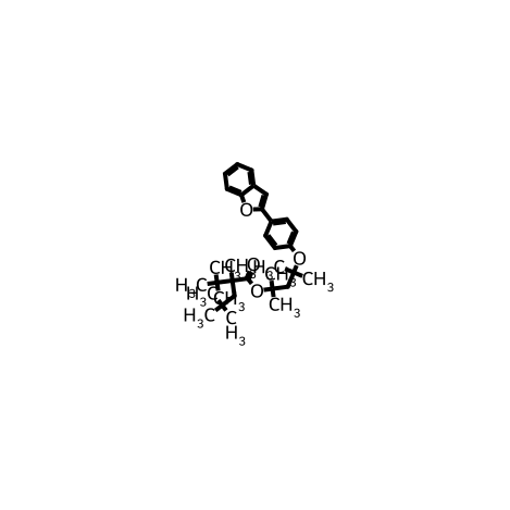 CC(C)(C)CC(C)(C(=O)OC(C)(C)CC(C)(C)Oc1ccc(-c2cc3ccccc3o2)cc1)C(C)(C)C